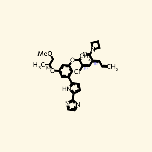 C=C/C=C(\C=C(\Cl)C(=C)Oc1cc(O[C@@H](C)COC)cc(-c2ccc(-c3nccs3)[nH]2)c1)C(=O)N1CCC1